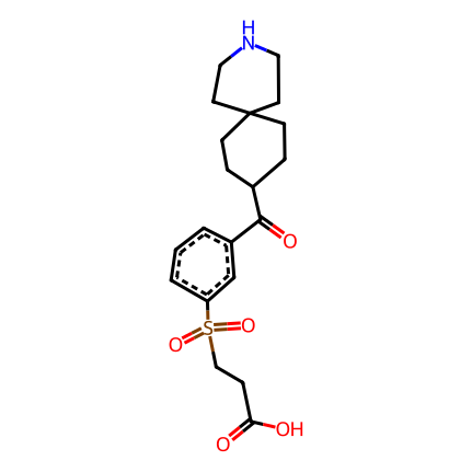 O=C(O)CCS(=O)(=O)c1cccc(C(=O)C2CCC3(CCNCC3)CC2)c1